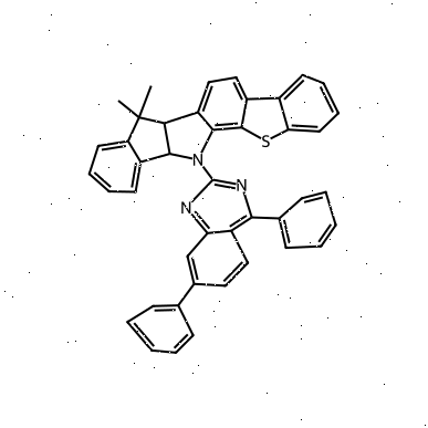 CC1(C)c2ccccc2C2C1c1ccc3c(sc4ccccc43)c1N2c1nc(-c2ccccc2)c2ccc(-c3ccccc3)cc2n1